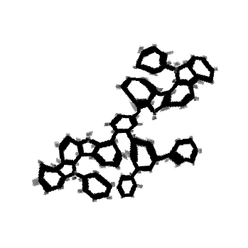 c1ccc(-c2cc(-c3ccccc3)cc(-c3cc(-c4cccc5c4sc4ccc6c7ccccc7n(-c7ccccc7)c6c45)ccc3-c3cccc4c3sc3ccc5c6ccccc6n(-c6ccccc6)c5c34)c2)cc1